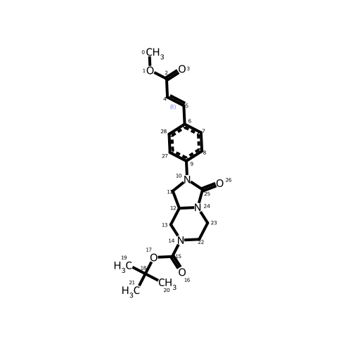 COC(=O)/C=C/c1ccc(N2CC3CN(C(=O)OC(C)(C)C)CCN3C2=O)cc1